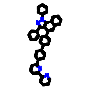 c1ccc(-c2nn(-c3ccccc3)c3c2c(-c2ccc(-c4ccc(-c5cccc(-c6ccccn6)n5)cc4)cc2)cc2ccccc23)cc1